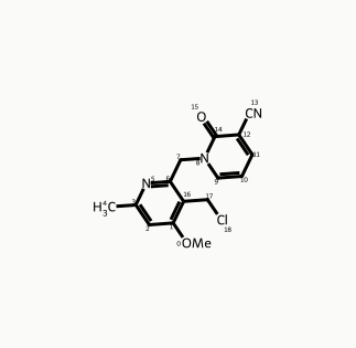 COc1cc(C)nc(Cn2cccc(C#N)c2=O)c1CCl